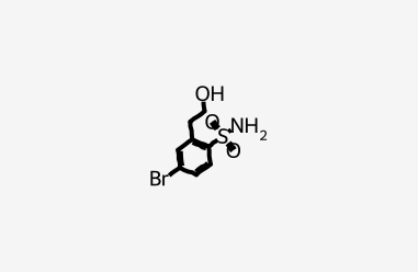 NS(=O)(=O)c1ccc(Br)cc1CCO